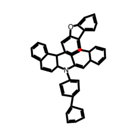 C1=CC2C=CC(N(c3ccc(-c4ccccc4)cc3)C3C=Cc4ccccc4C3c3ccc4c(c3)oc3ccccc34)=CC2C=C1